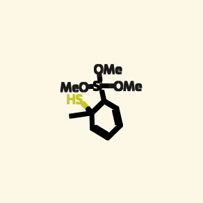 CO[Si](OC)(OC)C1C=CC=CC1(C)S